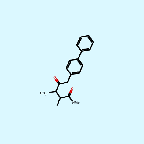 CNC(=O)C(C)C(C(=O)O)C(=O)Cc1ccc(-c2ccccc2)cc1